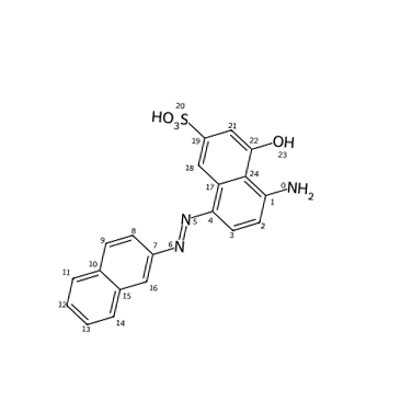 Nc1ccc(N=Nc2ccc3ccccc3c2)c2cc(S(=O)(=O)O)cc(O)c12